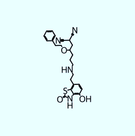 N#CC(C#N)CC(CCCNCCc1ccc(O)c2[nH]c(=O)sc12)OCCc1ccccc1